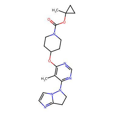 Cc1c(OC2CCN(C(=O)OC3(C)CC3)CC2)ncnc1N1CCc2nccn21